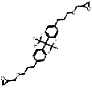 FC(F)(F)C(c1ccc(CCCOCC2CO2)cc1)(c1ccc(CCCOCC2CO2)cc1)C(F)(F)F